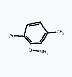 CC(C)c1ccc(C(F)(F)F)cc1.CCN